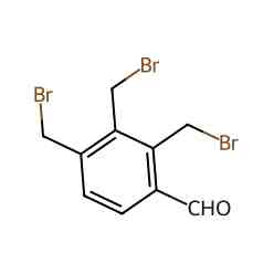 O=Cc1ccc(CBr)c(CBr)c1CBr